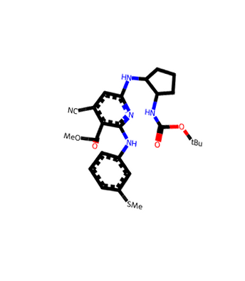 COC(=O)c1c(C#N)cc(NC2CCCC2NC(=O)OC(C)(C)C)nc1Nc1cccc(SC)c1